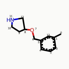 Cc1cccc(COC2CCNC2)c1